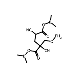 CB(C)OC(=O)C(C#N)CC(C#N)(COP)C(=O)OB(C)C